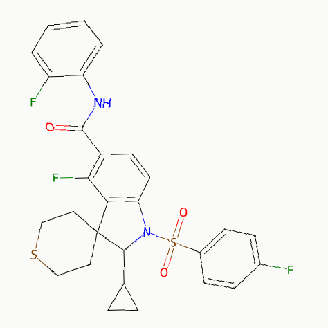 O=C(Nc1ccccc1F)c1ccc2c(c1F)C1(CCSCC1)C(C1CC1)N2S(=O)(=O)c1ccc(F)cc1